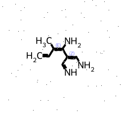 C=C/C(C)=C(N)\C(C=N)=C\N